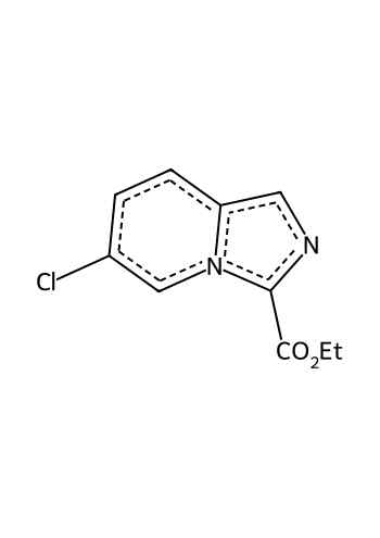 CCOC(=O)c1ncc2ccc(Cl)cn12